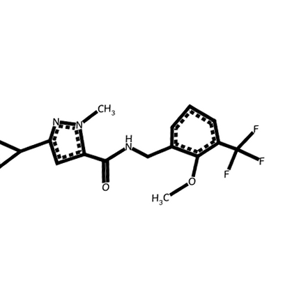 COc1c(CNC(=O)c2cc(C3CC3)nn2C)cccc1C(F)(F)F